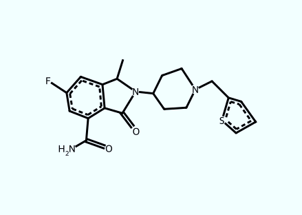 CC1c2cc(F)cc(C(N)=O)c2C(=O)N1C1CCN(Cc2cccs2)CC1